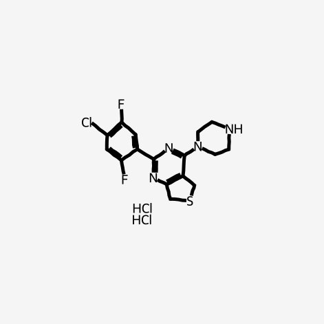 Cl.Cl.Fc1cc(-c2nc3c(c(N4CCNCC4)n2)CSC3)c(F)cc1Cl